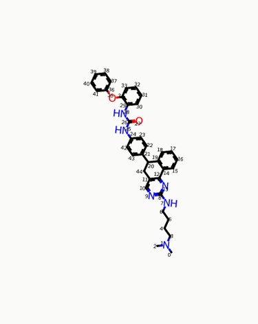 CN(C)CCCCNc1ncc2c(n1)-c1ccccc1C(c1ccc(NC(=O)Nc3ccccc3Oc3ccccc3)cc1)C2